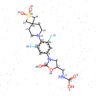 O=C(O)NCC1CN(c2cc(F)c(N3CCC4(CC3)CS(=O)(=O)C4)c(F)c2)C(=O)O1